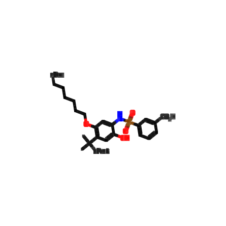 CCCCCCCCCCCCCCCCOc1cc(NS(=O)(=O)c2cccc(C(=O)O)c2)c(O)cc1C(C)(C)CCCCC